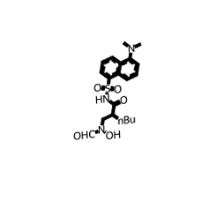 CCCCC(CN(O)C=O)C(=O)NS(=O)(=O)c1cccc2c(N(C)C)cccc12